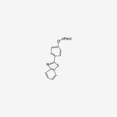 CCCCCOc1ccc(-c2nc3ccc[c]c3s2)cc1